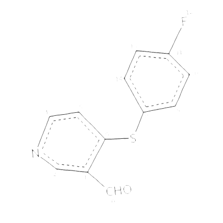 O=Cc1cnccc1Sc1ccc(F)cc1